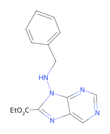 CCOC(=O)c1nc2cncnc2n1NCc1ccccc1